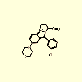 O=C=C1CC[n+]2c3ccc(N4CCOCC4)cc3c(-c3ccccc3)n21.[Cl-]